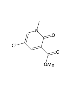 COC(=O)c1cc(Cl)cn(C)c1=O